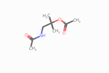 CC(=O)NCC(C)(C)OC(C)=O